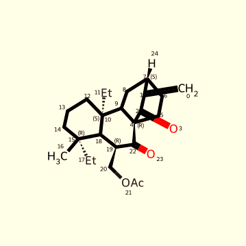 C=C1C(=O)[C@]23CC[C@H]1CC2[C@]1(CC)CCC[C@@](C)(CC)C1[C@H](COC(C)=O)C3=O